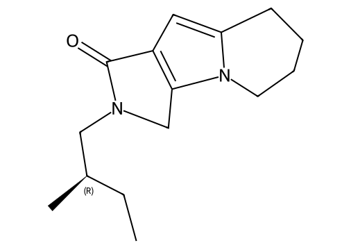 CC[C@@H](C)CN1Cc2c(cc3n2CCCC3)C1=O